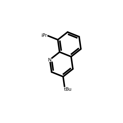 CC(C)c1cccc2cc(C(C)(C)C)cnc12